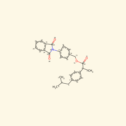 CC(C)Cc1ccc(C(C)C(=O)OCc2ccc(N3C(=O)c4ccccc4C3=O)cc2)cc1